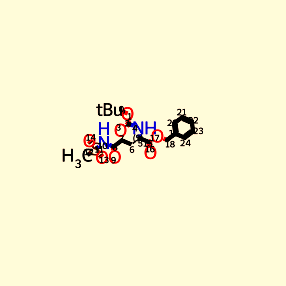 CC(C)(C)OC(=O)N[C@@H](CCC(=O)NS(C)(=O)=O)C(=O)OCc1ccccc1